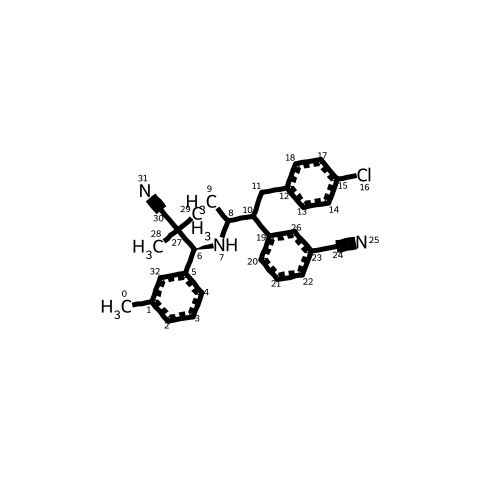 Cc1cccc([C@H](NC(C)C(Cc2ccc(Cl)cc2)c2cccc(C#N)c2)C(C)(C)C#N)c1